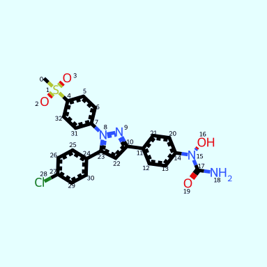 CS(=O)(=O)c1ccc(-n2nc(-c3ccc(N(O)C(N)=O)cc3)cc2-c2ccc(Cl)cc2)cc1